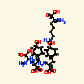 NCC(=O)O.NCCCC[C@H](N)C(=O)O.N[C@@H](Cc1ccc(O)cc1)C(=O)O.N[C@@H](Cc1ccc(O)cc1)C(=O)O